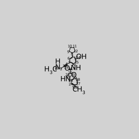 CNCC#Cc1cc(C2CCCC2)c(O)cc1NC(=O)C1CNc2cc(C)ccc2O1